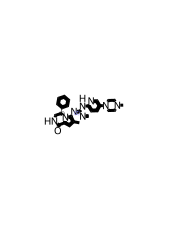 C=N/C(=N\c1c(C)cc2n1[C@@H](c1ccccc1)CNC2=O)Nc1ccc(N2CCN(C)CC2)cn1